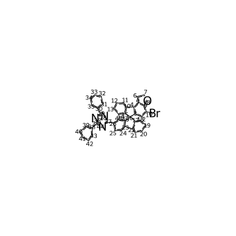 Brc1cc2c(c3ccoc13)-c1ccccc1C21c2ccccc2-c2ccc(-c3nc(-c4ccccc4)nc(-c4ccccc4)n3)cc21